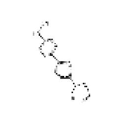 N#CBc1ccc(-c2ccc(C3C=CC=CC=C3)cc2)cc1